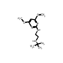 COc1cc(OC)nc(NCCNC(C)(C)C)n1